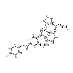 C=CC(=O)N1CCC[C@H]1c1nc(-c2ccc(OCc3ccc(F)cc3)cc2)c2c(N)nccn12